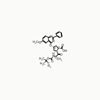 COc1ccc2nc(-c3ccccc3)nc(O[C@@H]3C[C@@H](C(=O)O)N(C(=O)[C@H](C)NC(=O)OC(C)(C)C)C3)c2c1